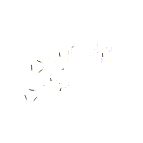 Cl.N=C(N)NCCC[C@@H](C=O)NC(=O)[C@H](Cc1ccccc1)NC(=O)[C@@H]1CCC(=O)N1C(=O)OCc1ccccc1